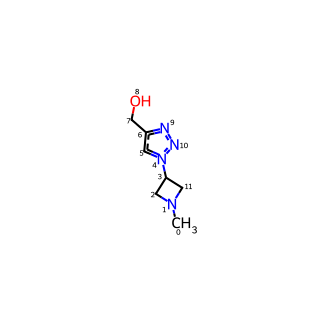 CN1CC(n2cc(CO)nn2)C1